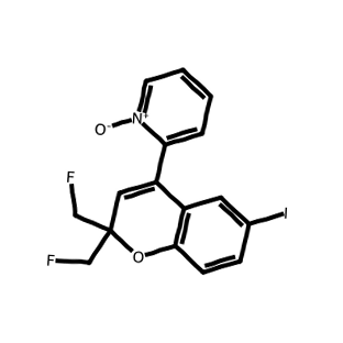 [O-][n+]1ccccc1C1=CC(CF)(CF)Oc2ccc(I)cc21